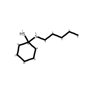 CCCCCSC1(S)CCCCC1